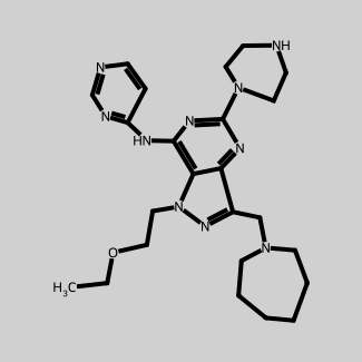 CCOCCn1nc(CN2CCCCCC2)c2nc(N3CCNCC3)nc(Nc3ccncn3)c21